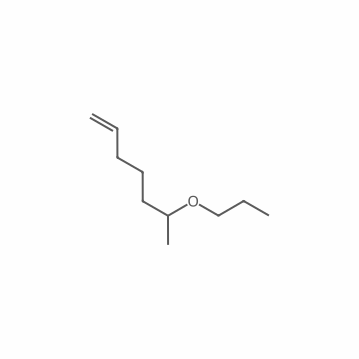 C=CCCCC(C)OCCC